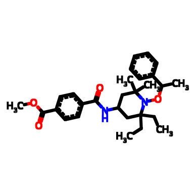 CCC1(CC)CC(NC(=O)c2ccc(C(=O)OC)cc2)CC(C)(C)N1OC(C)c1ccccc1